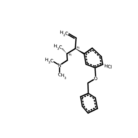 C=C[C@@H](c1cccc(OCc2ccccc2)c1)[C@@H](C)CN(C)C.Cl